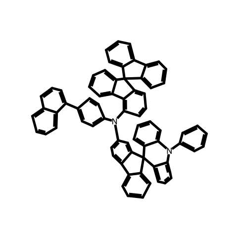 c1ccc(N2c3ccccc3C3(c4ccccc4-c4ccc(N(c5ccc(-c6cccc7ccccc67)cc5)c5cccc6c5-c5ccccc5C65c6ccccc6-c6ccccc65)cc43)c3ccccc32)cc1